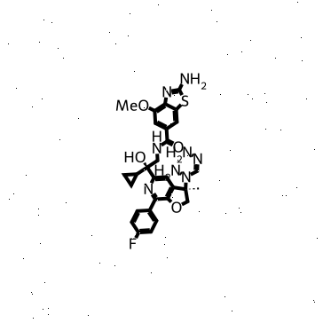 COc1cc(C(=O)NC[C@](O)(c2cc3c(c(-c4ccc(F)cc4)n2)OC[C@]3(C)N(N)/C=N\N)C2CC2)cc2sc(N)nc12